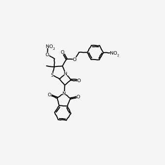 CC1(CO[N+](=O)[O-])SC2C(N3C(=O)c4ccccc4C3=O)C(=O)N2C1C(=O)OCc1ccc([N+](=O)[O-])cc1